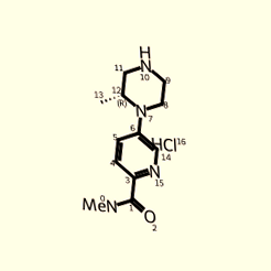 CNC(=O)c1ccc(N2CCNC[C@H]2C)cn1.Cl